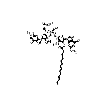 CCCCCCCCCCCCCC(=O)OC1C(n2cnc3c(=O)[nH]c(N)nc32)O[C@H](COP(=O)(S)O[C@@H]2C(O)C(n3cnc4c(=O)[nH]c(N)nc43)O[C@@H]2CO[PH](=O)S)[C@@H]1O